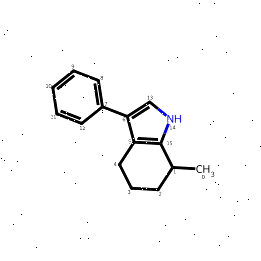 CC1CCCc2c(-c3ccccc3)c[nH]c21